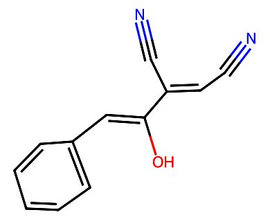 N#CC=C(C#N)C(O)=Cc1ccccc1